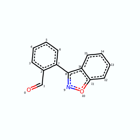 O=Cc1ccccc1-c1noc2ccccc12